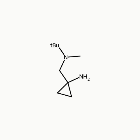 CN(CC1(N)CC1)C(C)(C)C